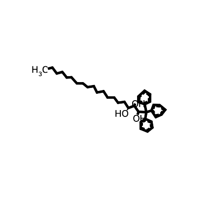 CCCCCCCCCCCCCCCC[C@@H](O)C(O)C(O)C(c1ccccc1)(c1ccccc1)c1ccccc1